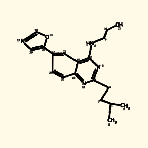 CC(C)CCc1nc(NCCO)c2cc(-c3cnco3)ccc2n1